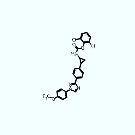 O=C(NC1CC1c1ccc(-c2ncn(-c3ccc(OC(F)(F)F)cc3)n2)cc1)Oc1c(Cl)cccc1Cl